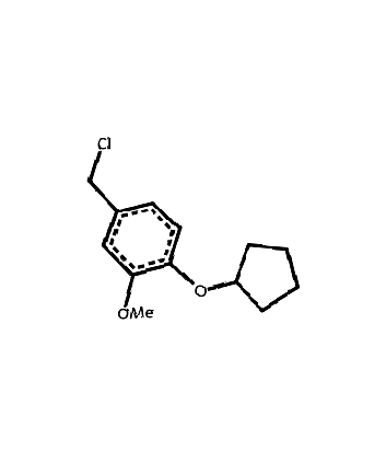 COc1cc(CCl)ccc1OC1CCCC1